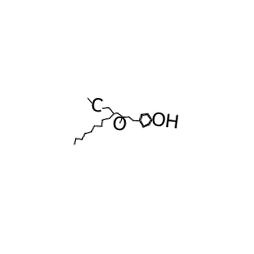 CCCCCCCCCC(CCCCC)CC(CCc1ccc(O)cc1)OC